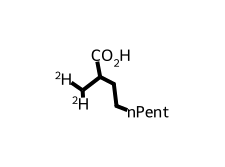 [2H]C([2H])C(CCCCCCC)C(=O)O